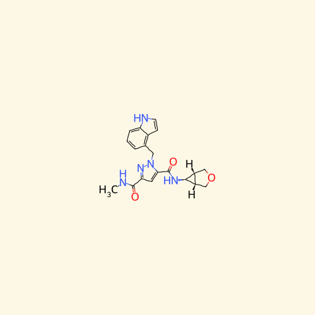 CNC(=O)c1cc(C(=O)N[C@H]2[C@@H]3COC[C@@H]32)n(Cc2cccc3[nH]ccc23)n1